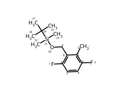 [CH2]c1c(F)ccc(F)c1CO[Si](C)(C)C(C)(C)C